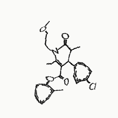 COCCN1C(=O)C(C)C(c2ccc(Cl)cc2)C(C(=O)Oc2ccccc2C)=C1C